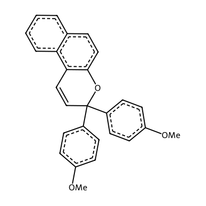 COc1ccc(C2(c3ccc(OC)cc3)C=Cc3c(ccc4ccccc34)O2)cc1